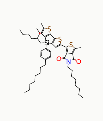 CCCCCCCCc1ccc([Si]2(CC(CC)CCCC)c3cc(C)sc3-c3sc(-c4sc(C)c5c4C(=O)N(CCCCCCCC)C5=O)cc32)cc1